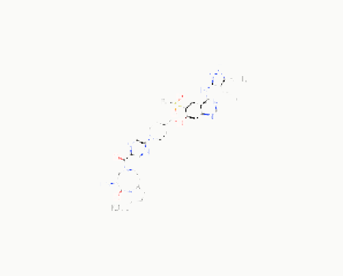 Cc1[nH]nc(Nc2ncnc3cc(OCC4CCN(c5cnc(C(=O)N6CCC7CCC(C(=O)O)N7C(=O)C(N)C6)cn5)CC4)c(S(=O)(=O)C(C)(C)C)cc23)c1C